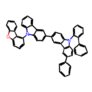 c1ccc(-c2ccc3c(c2)c2cc(-c4ccc5c(c4)c4ccccc4n5-c4cccc5oc6ccccc6c45)ccc2n3-c2ccccc2-c2ccccc2)cc1